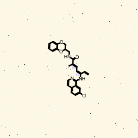 C=C/C(=C\C=C(/C)C(=O)NCC1COc2ccccc2O1)Nc1nccc2ccc(Cl)cc12